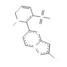 CCS(=O)(=O)C1=C(c2ccn3nc(C(F)(F)F)cc3n2)N(C)CC=C1